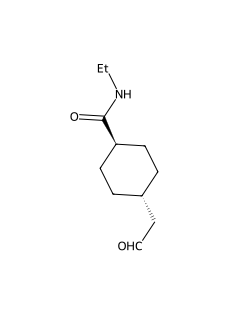 CCNC(=O)[C@H]1CC[C@H](CC=O)CC1